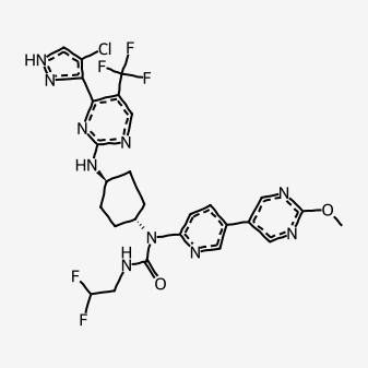 COc1ncc(-c2ccc(N(C(=O)NCC(F)F)[C@H]3CC[C@H](Nc4ncc(C(F)(F)F)c(-c5n[nH]cc5Cl)n4)CC3)nc2)cn1